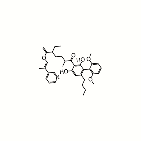 C=C(O/C=C(\C)c1cccnc1)C(CC)CCC(C)C(=O)c1c(O)cc(CCCC)c(-c2c(OC)cccc2OC)c1O